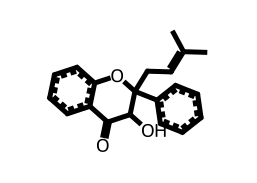 CC(C)=CCC1(c2ccccc2)Oc2ccccc2C(=O)C1O